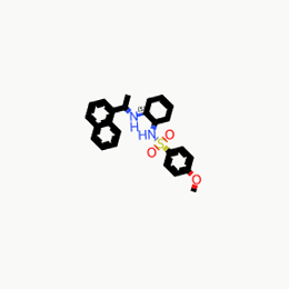 COc1ccc(S(=O)(=O)NC2CC=CC[C@@H]2NC(C)c2cccc3ccccc23)cc1